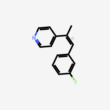 C/C(=C/c1cccc(F)c1)c1ccncc1